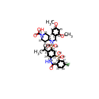 COc1ccc(CN(C2CCN(C(=O)O)CC2)S(=O)(=O)c2cc3c(cc2C(C)C)NC(=O)c2ccc(F)cc2S3(=O)=O)c(OC)c1